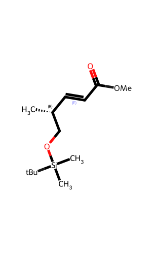 COC(=O)/C=C/[C@@H](C)CO[Si](C)(C)C(C)(C)C